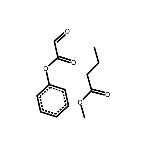 CCCC(=O)OC.O=CC(=O)Oc1ccccc1